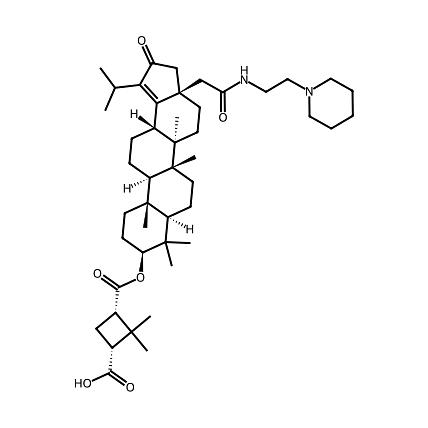 CC(C)C1=C2[C@H]3CC[C@@H]4[C@@]5(C)CC[C@H](OC(=O)[C@H]6C[C@@H](C(=O)O)C6(C)C)C(C)(C)[C@@H]5CC[C@@]4(C)[C@]3(C)CC[C@@]2(CC(=O)NCCN2CCCCC2)CC1=O